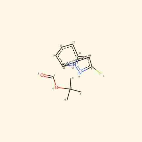 CC(C)(C)OC=O.Fc1nn2c3cccc2c13